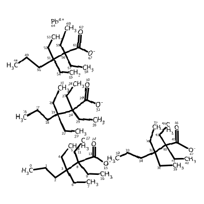 CCCC(CC)(CC)C(CC)(CC)C(=O)[O-].CCCC(CC)(CC)C(CC)(CC)C(=O)[O-].CCCC(CC)(CC)C(CC)(CC)C(=O)[O-].CCCC(CC)(CC)C(CC)(CC)C(=O)[O-].[Pb+4]